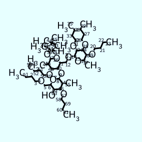 CCCCOCC1O[C@@H](O[C@@H]2C(CO[C@@H]3O[C@@H](C)[C@@H](OCCCC)C(OCCCC)C3OCCCC)O[C@H](O[Si](C)(C)C(C)(C)C)C(C)[C@H]2OCCCC)[C@@H](C)C(OCCCC)[C@@H]1O